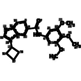 COc1cc(NC(=O)c2ccc3ncn(C4CCC4)c3c2)cc(OC)c1OC